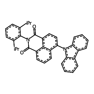 CC(C)c1cccc(C(C)C)c1N1C(=O)c2cccc3c(-n4c5ccccc5c5ccccc54)ccc(c23)C1=O